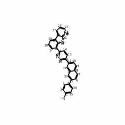 Ic1ccc(-c2ccc3ccc(-c4ccc(-c5cccc6c5sc5ncccc56)nc4)cc3c2)cc1